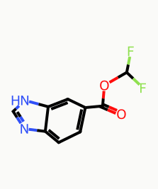 O=C(OC(F)F)c1ccc2nc[nH]c2c1